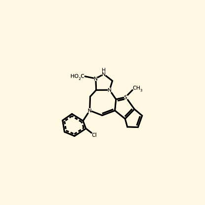 CS1=C2C(=CN(c3ccccc3Cl)CC3N2CNN3C(=O)O)C2=C1C=CC2